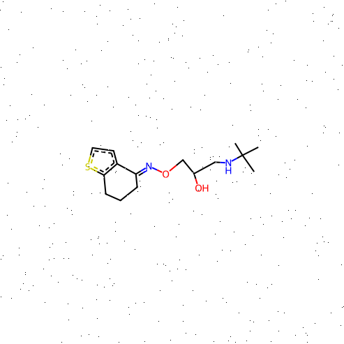 CC(C)(C)NCC(O)CO/N=C1\CCCc2sccc21